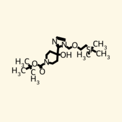 CC(C)(C)OC(=O)N1CCC(O)(c2nccn2COCC[Si](C)(C)C)CC1